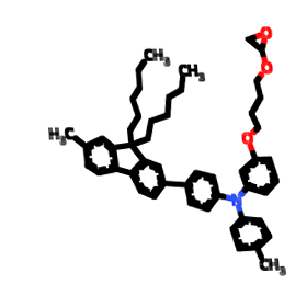 CCCCCCC1(CCCCCC)c2cc(C)ccc2-c2ccc(-c3ccc(N(c4ccc(C)cc4)c4cccc(OCCCCOC5CO5)c4)cc3)cc21